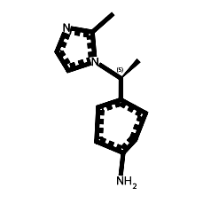 Cc1nccn1[C@@H](C)c1ccc(N)cc1